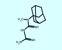 CN(C(=N)NC(=N)N)C12CC3CC(CC(C3)C1)C2